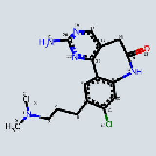 CN(C)CCCc1cc2c(cc1Cl)NC(=O)Cc1cnc(N)nc1-2